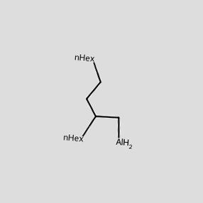 CCCCCCCCC([CH2][AlH2])CCCCCC